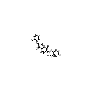 Cc1cnccc1CNC(=O)c1cnc(N2CCc3ncccc3C2)c(C)c1